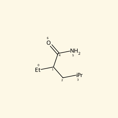 [CH2]CC(CC(C)C)C(N)=O